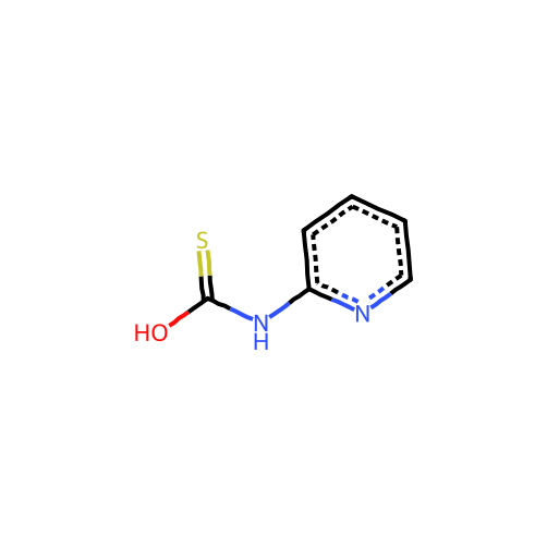 OC(=S)Nc1ccccn1